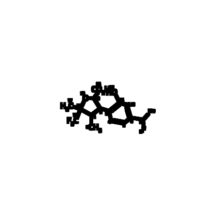 CC1C(c2ccc(C(F)F)nc2O)C(C(=O)O)OC1(C)C(F)(F)F